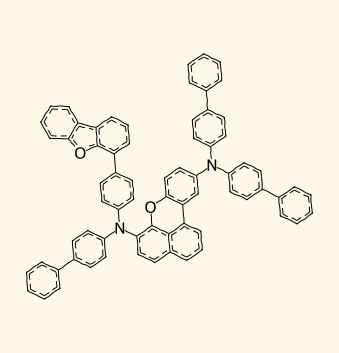 c1ccc(-c2ccc(N(c3ccc(-c4ccccc4)cc3)c3ccc4c(c3)-c3cccc5ccc(N(c6ccc(-c7ccccc7)cc6)c6ccc(-c7cccc8c7oc7ccccc78)cc6)c(c35)O4)cc2)cc1